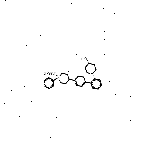 CCCCC[Si]1(c2ccccc2)CCC(C2=CC=C(c3ccccc3[C@H]3CC[C@H](CCC)CC3)CC2)CC1